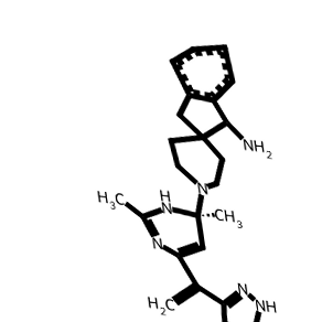 C=C(C1=C[C@](C)(N2CCC3(CC2)Cc2ccccc2C3N)NC(C)=N1)C1=NNCC1